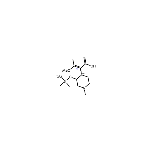 C=C(O)/C(=C(\C)OC)[C@H]1CCN(C)CC1O[Si](C)(C)C(C)(C)C